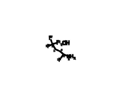 Cl.NC(F)CCC(F)(F)F